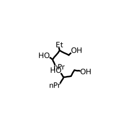 CCCC(O)C(CC)CO.CCCC(O)CCO